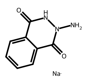 Nn1[nH]c(=O)c2ccccc2c1=O.[Na]